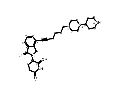 O=C1CCC(N2Cc3c(C#CCCCCN4CCN(C5CCNCC5)CC4)cccc3C2=O)C(=O)N1